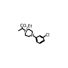 CCOC(=O)C(C)N1CCN(c2cccc(Cl)c2)CC1